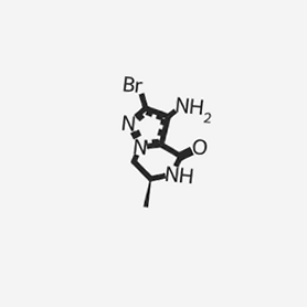 C[C@H]1Cn2nc(Br)c(N)c2C(=O)N1